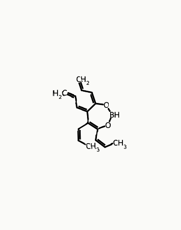 C=C/C=C1C(/C=C\C)=C(/C=C\C)OBOC/1=C/C=C